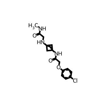 CNC(=O)CNC12CC(NC(=O)COc3ccc(Cl)cc3)(C1)C2